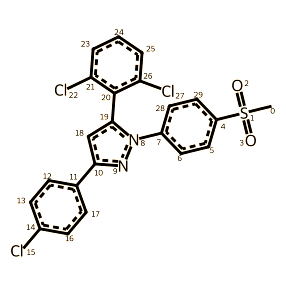 CS(=O)(=O)c1ccc(-n2nc(-c3ccc(Cl)cc3)cc2-c2c(Cl)cccc2Cl)cc1